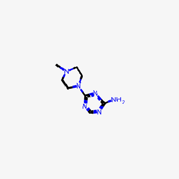 CN1CCN(c2ncnc(N)n2)CC1